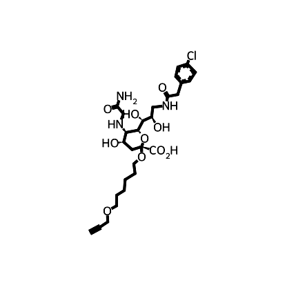 C#CCOCCCCCCO[C@]1(C(=O)O)C[C@H](O)[C@@H](NCC(N)=O)[C@H]([C@H](O)[C@H](O)CNC(=O)Cc2ccc(Cl)cc2)O1